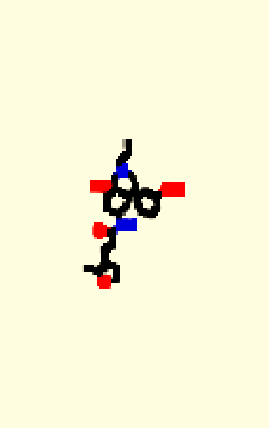 C=CCN1CC[C@@]2(c3cccc(O)c3)C[C@H](NC(=O)/C=C/c3ccoc3C)CC[C@]2(O)C1